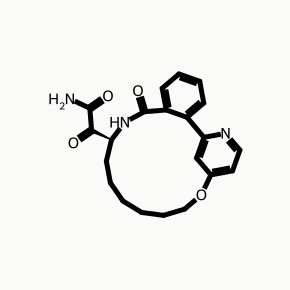 NC(=O)C(=O)[C@@H]1CCCCCCOc2ccnc(c2)-c2ccccc2C(=O)N1